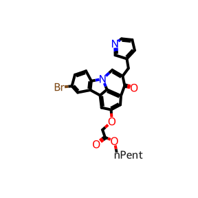 CCCCCOC(=O)COc1cc2c(=O)c(Cc3cccnc3)cn3c4ccc(Br)cc4c(c1)c23